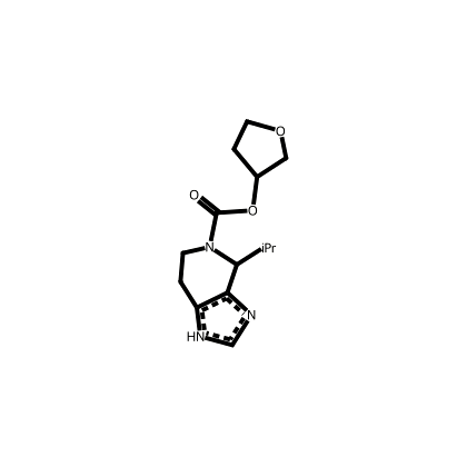 CC(C)C1c2nc[nH]c2CCN1C(=O)OC1CCOC1